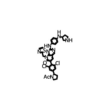 CC(=O)N1CCCC1c1cc(Cl)c(-c2cc3cnc(Nc4ccc(NC5CCNC5)cc4)nc3n(Cc3nccs3)c2=O)c(Cl)c1